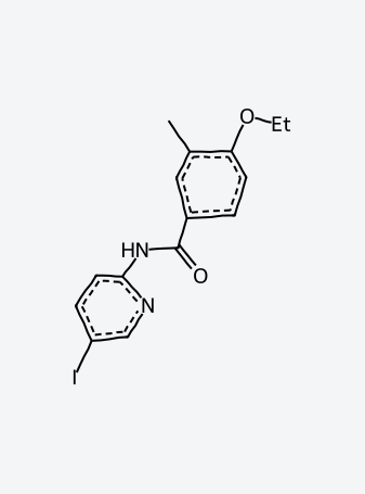 CCOc1ccc(C(=O)Nc2ccc(I)cn2)cc1C